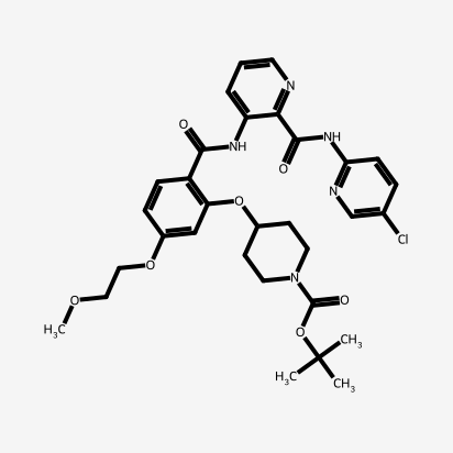 COCCOc1ccc(C(=O)Nc2cccnc2C(=O)Nc2ccc(Cl)cn2)c(OC2CCN(C(=O)OC(C)(C)C)CC2)c1